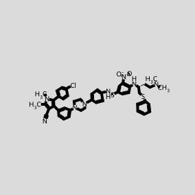 Cc1c(C#N)c(-c2cccc(N3CCN(c4ccc(NSc5ccc(N[C@H](CCN(C)C)CSc6ccccc6)c([N+](=O)[O-])c5)cc4)CC3)c2)c(-c2ccc(Cl)cc2)n1C